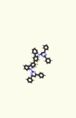 c1ccc(-c2cc(-n3c4ccccc4c4cc5c(cc43)sc3cc4c(cc35)c3ccccc3n4-c3nc(-c4ccccc4)cc(-c4ccccc4)n3)nc(-c3ccccc3)n2)cc1